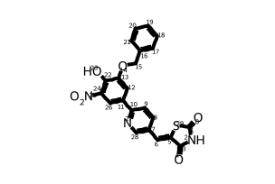 O=C1NC(=O)/C(=C/c2ccc(-c3cc(OCc4ccccc4)c(O)c([N+](=O)[O-])c3)nc2)S1